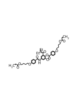 C=CC(=O)OCCCCOc1ccc(C(=O)Nc2cc(Cl)c(OC(=O)c3ccc(OCCCCOC(=O)C=C)cc3)c(C(=O)N(CC)CC)c2)cc1